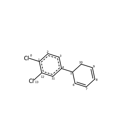 Clc1ccc(C2C=CC=CC2)cc1Cl